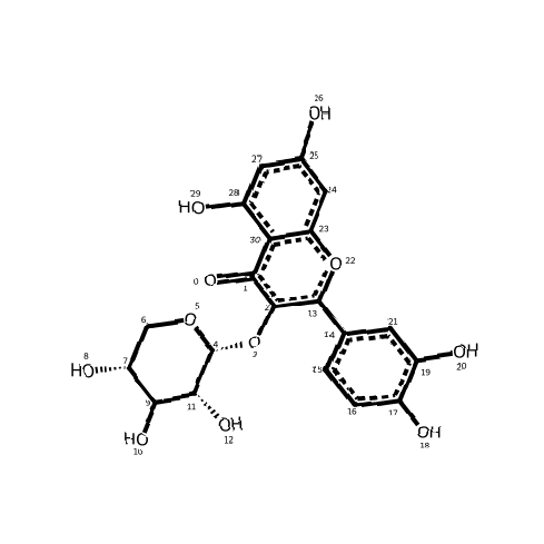 O=c1c(O[C@H]2OC[C@@H](O)C(O)[C@H]2O)c(-c2ccc(O)c(O)c2)oc2cc(O)cc(O)c12